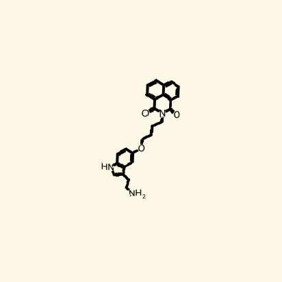 NCCc1c[nH]c2ccc(OCCCCN3C(=O)c4cccc5cccc(c45)C3=O)cc12